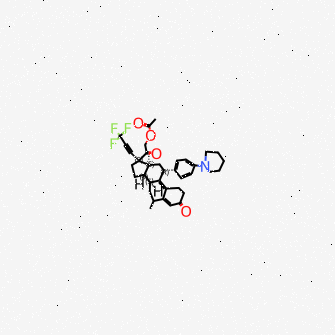 CC(=O)OCC(=O)[C@@]1(C#CC(F)(F)F)CC[C@H]2[C@@H]3CC(C)C4=CC(=O)CCC4=C3[C@@H](c3ccc(N4CCCCC4)cc3)C[C@@]21C